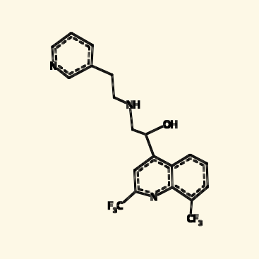 OC(CNCCc1cccnc1)c1cc(C(F)(F)F)nc2c(C(F)(F)F)cccc12